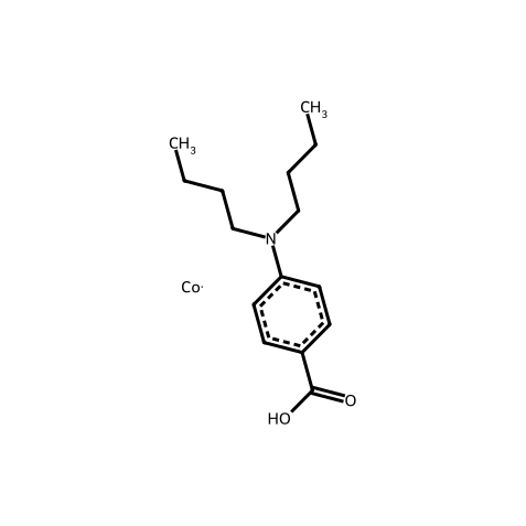 CCCCN(CCCC)c1ccc(C(=O)O)cc1.[Co]